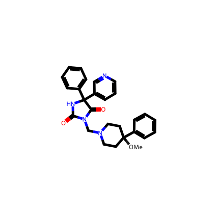 COC1(c2ccccc2)CCN(CN2C(=O)NC(c3ccccc3)(c3cccnc3)C2=O)CC1